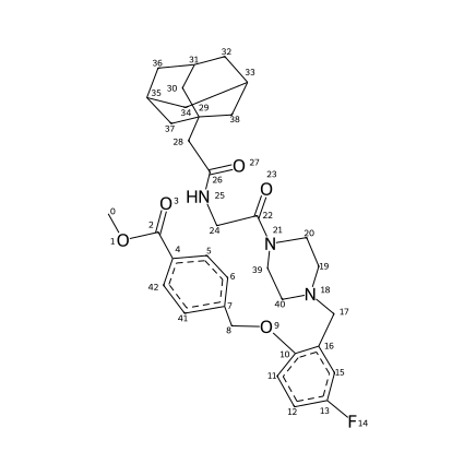 COC(=O)c1ccc(COc2ccc(F)cc2CN2CCN(C(=O)CNC(=O)CC34CC5CC(CC(C5)C3)C4)CC2)cc1